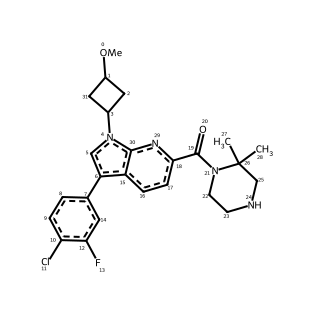 COC1CC(n2cc(-c3ccc(Cl)c(F)c3)c3ccc(C(=O)N4CCNCC4(C)C)nc32)C1